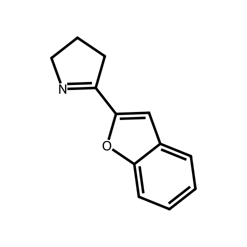 c1ccc2oc(C3=NCCC3)cc2c1